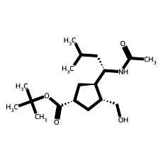 CC(=O)N[C@@H](CC(C)C)[C@@H]1C[C@@H](C(=O)OC(C)(C)C)C[C@H]1CO